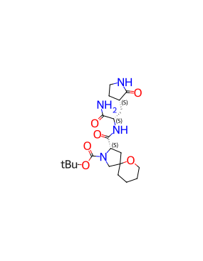 CC(C)(C)OC(=O)N1CC2(CCCCO2)C[C@H]1C(=O)N[C@@H](C[C@@H]1CCNC1=O)C(N)=O